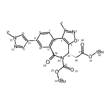 Cc1noc2c1-c1ccc(-c3cnn(C)c3)cc1C(=O)N(C(=O)OC(C)(C)C)[C@H]2CC(=O)OC(C)(C)C